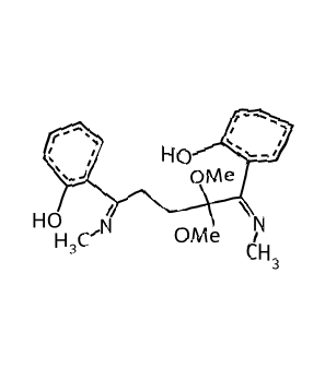 CN=C(CCC(OC)(OC)C(=NC)c1ccccc1O)c1ccccc1O